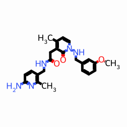 COc1cccc(CNn2ccc(C)c(CC(=O)NCc3ccc(N)nc3C)c2=O)c1